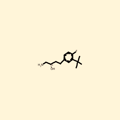 CC(C)(C)c1cc(CC[C@H](O)CN)ccc1F